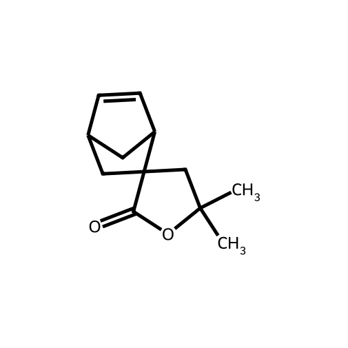 CC1(C)CC2(CC3C=CC2C3)C(=O)O1